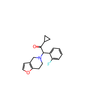 O=C(C1CC1)C(c1ccccc1F)N1CCc2occc2C1